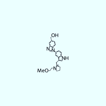 COCCN1CCC[C@@H]1Cc1c[nH]c2ccc(-n3cnc4cc(CO)ccc43)cc12